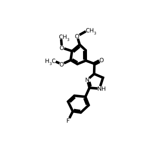 COc1cc(C(=O)C2CNC(c3ccc(F)cc3)=N2)cc(OC)c1OC